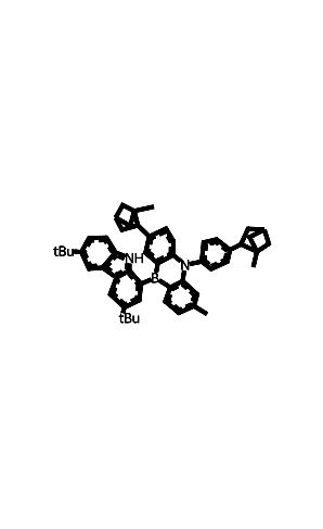 Cc1ccc2c(c1)N(c1ccc(C3CC4CC3(C)C4)cc1)c1ccc(C3CC4CC3(C)C4)cc1B2c1cc(C(C)(C)C)cc2c1[nH]c1ccc(C(C)(C)C)cc12